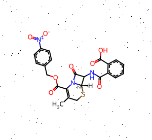 CC1=C(C(=O)OCc2ccc([N+](=O)[O-])cc2)N2C(=O)C(NC(=O)c3ccccc3C(=O)O)[C@@H]2SC1